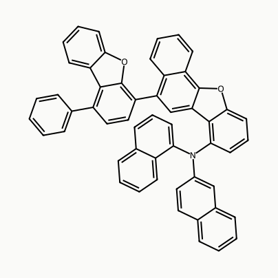 c1ccc(-c2ccc(-c3cc4c(oc5cccc(N(c6ccc7ccccc7c6)c6cccc7ccccc67)c54)c4ccccc34)c3oc4ccccc4c23)cc1